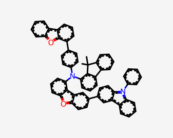 CC1(C)c2ccccc2-c2cccc(N(c3ccc(-c4cccc5c4oc4ccccc45)cc3)c3cccc4oc5ccc(-c6ccc7c(c6)c6ccccc6n7-c6ccccc6)cc5c34)c21